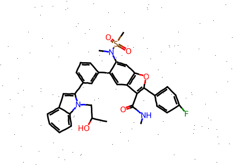 CNC(=O)c1c(-c2ccc(F)cc2)oc2cc(N(C)S(C)(=O)=O)c(-c3cccc(-c4cc5ccccc5n4CC(C)O)c3)cc12